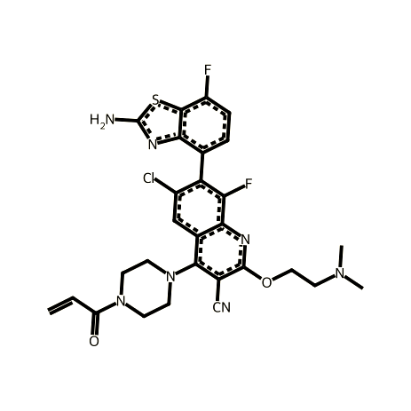 C=CC(=O)N1CCN(c2c(C#N)c(OCCN(C)C)nc3c(F)c(-c4ccc(F)c5sc(N)nc45)c(Cl)cc23)CC1